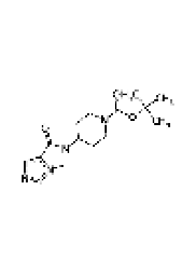 CC(C)(C)OC(=O)N1CCC(N2Cn3cncc3C2=O)CC1